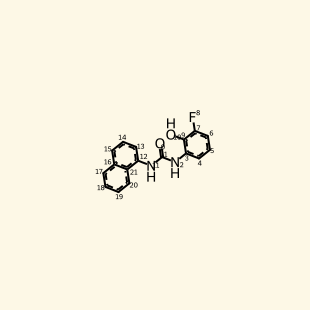 O=C(Nc1cccc(F)c1O)Nc1cccc2ccccc12